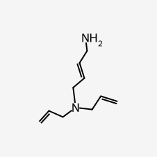 C=CCN(CC=C)CC=CCN